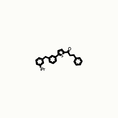 CC(C)c1cccc(Cc2cccc(-c3ccc(C(=O)CCc4ccccc4)s3)c2)c1